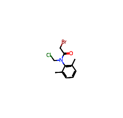 Cc1cccc(C)c1N(CCl)C(=O)CBr